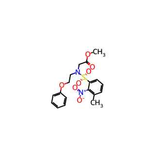 COC(=O)CN(CCOc1ccccc1)S(=O)(=O)c1cccc(C)c1[N+](=O)[O-]